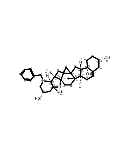 C[C@@H]1CN(Cc2ccccc2)[C@H]2[C@H]3CC45CC46C[C@H]4[C@@H](CC=C7C[C@@H](O)CC[C@@]74C)[C@@H]6CC[C@@]35O[C@]2(N)C1